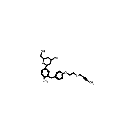 CC#CCOCCOc1ccc(Cc2cc(C3CC(O)CC(CO)O3)ccc2C)cc1